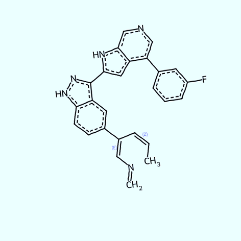 C=N/C=C(\C=C/C)c1ccc2[nH]nc(-c3cc4c(-c5cccc(F)c5)cncc4[nH]3)c2c1